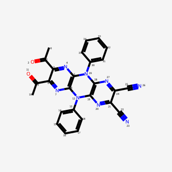 CC(=O)c1nc2c(nc1C(C)=O)N(c1ccccc1)c1nc(C#N)c(C#N)nc1N2c1ccccc1